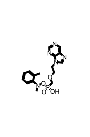 Cc1ccccc1N(C)OP(=O)(O)COCCn1cnc2cncnc21